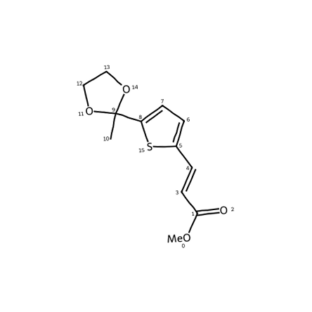 COC(=O)C=Cc1ccc(C2(C)OCCO2)s1